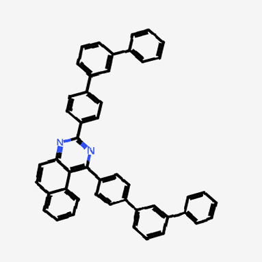 c1ccc(-c2cccc(-c3ccc(-c4nc(-c5ccc(-c6cccc(-c7ccccc7)c6)cc5)c5c(ccc6ccccc65)n4)cc3)c2)cc1